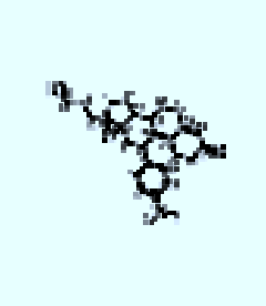 CN(C)c1ccc([C@H]2C[C@@]34O[C@]3(CCCO)CCC4C3CCC4=CC(=O)CCC4=C32)cc1